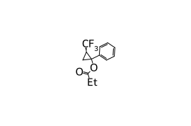 CCC(=O)OC1(c2ccccc2)C[C@H]1C(F)(F)F